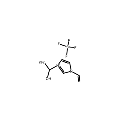 C=Cn1cc[n+](C(O)CCC)c1.F[B-](F)(F)F